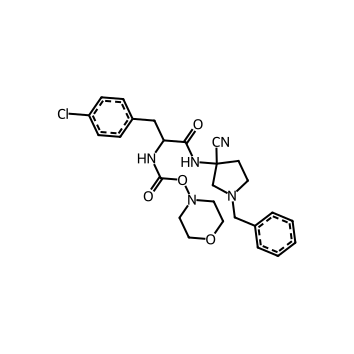 N#CC1(NC(=O)C(Cc2ccc(Cl)cc2)NC(=O)ON2CCOCC2)CCN(Cc2ccccc2)C1